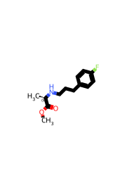 COC(=O)[C@H](C)NCCCc1ccc(F)cc1